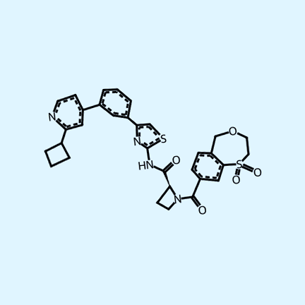 O=C(Nc1nc(-c2cccc(-c3ccnc(C4CCC4)c3)c2)cs1)[C@@H]1CCN1C(=O)c1ccc2c(c1)S(=O)(=O)CCOC2